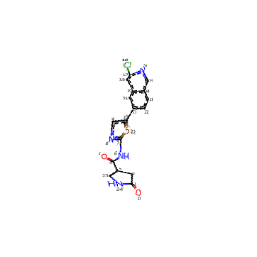 O=C1CC(C(=O)Nc2ncc(-c3ccc4cnc(Cl)cc4c3)s2)CN1